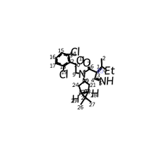 CC/C(C)=C(\C=N)C(=O)N(CC(=O)c1c(Cl)cccc1Cl)[C@H]1C[C@@H]2[C@H](C1)C2(C)C